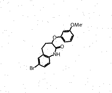 COc1cccc(OC2CCc3cc(Br)ccc3NC2=O)c1